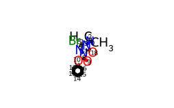 CN(C)n1c(Br)nn(C(=O)Oc2ccccc2)c1=O